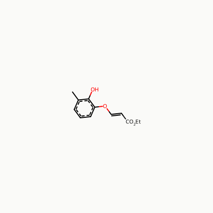 CCOC(=O)C=COc1cccc(C)c1O